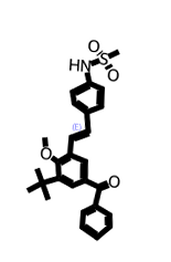 COc1c(/C=C/c2ccc(NS(C)(=O)=O)cc2)cc(C(=O)c2ccccc2)cc1C(C)(C)C